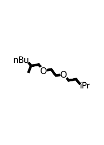 CCCCC(C)COCCOCCC(C)C